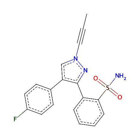 CC#Cn1cc(-c2ccc(F)cc2)c(-c2ccccc2S(N)(=O)=O)n1